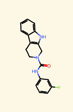 O=C(Nc1cccc(F)c1)N1CCc2c([nH]c3ccccc23)C1